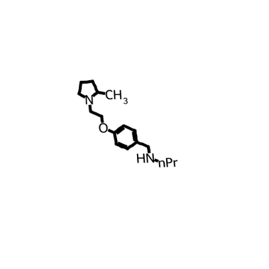 CCCNCc1ccc(OCCN2CCCC2C)cc1